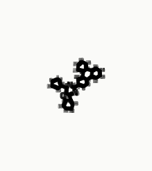 c1ccc(-c2nc(-c3ccc4c5ccccc5c5ccccc5c4c3)nc3c2oc2ccccc23)cc1